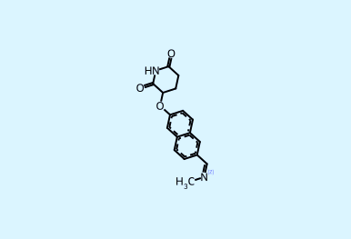 C/N=C\c1ccc2cc(OC3CCC(=O)NC3=O)ccc2c1